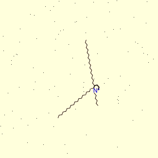 CCCCCCCCCCCCCCCCCCc1ccc[n+](CCCCCC)c1CCCCCCCCCCCCCCCCCC